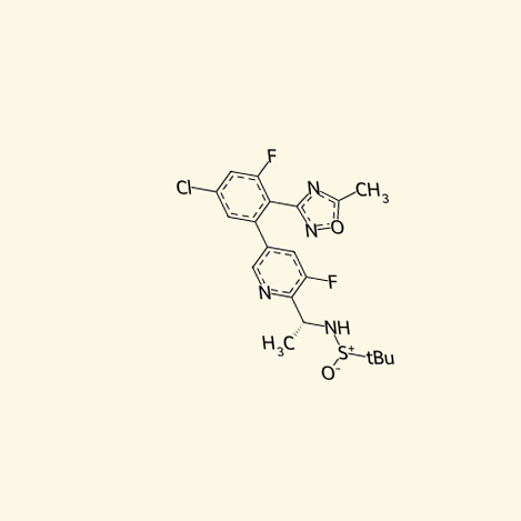 Cc1nc(-c2c(F)cc(Cl)cc2-c2cnc([C@@H](C)N[S+]([O-])C(C)(C)C)c(F)c2)no1